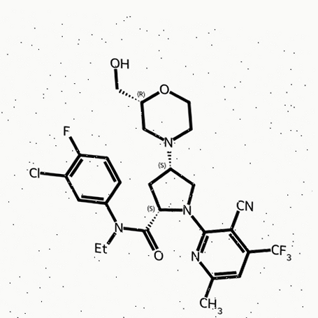 CCN(C(=O)[C@@H]1C[C@H](N2CCO[C@@H](CO)C2)CN1c1nc(C)cc(C(F)(F)F)c1C#N)c1ccc(F)c(Cl)c1